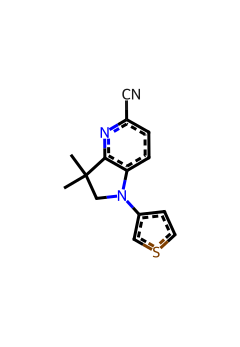 CC1(C)CN(c2ccsc2)c2ccc(C#N)nc21